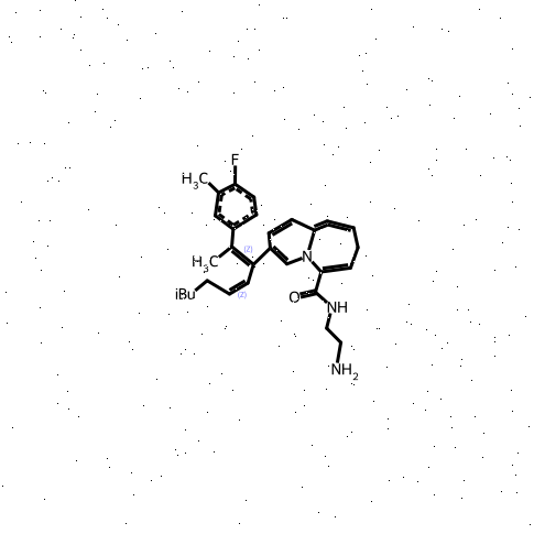 CCC(C)C/C=C\C(C1=CN2C(=C=CCC=C2C(=O)NCCN)C=C1)=C(/C)c1ccc(F)c(C)c1